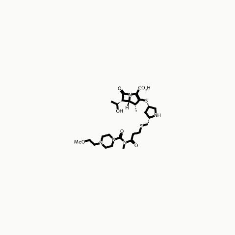 COCCN1CCN(C(=O)N(C)C(=O)CCSC[C@@H]2C[C@H](SC3=C(C(=O)O)N4C(=O)[C@@H](C(C)O)[C@H]4[C@H]3C)CN2)CC1